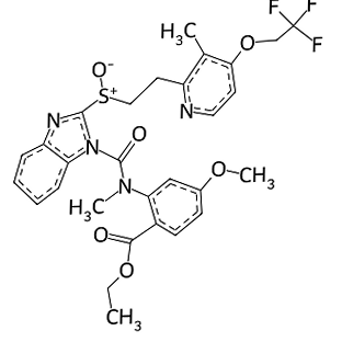 CCOC(=O)c1ccc(OC)cc1N(C)C(=O)n1c([S+]([O-])CCc2nccc(OCC(F)(F)F)c2C)nc2ccccc21